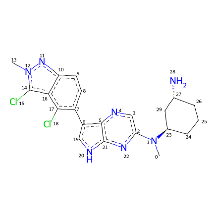 CN(c1cnc2c(-c3ccc4nn(C)c(Cl)c4c3Cl)c[nH]c2n1)[C@@H]1CCC[C@@H](N)C1